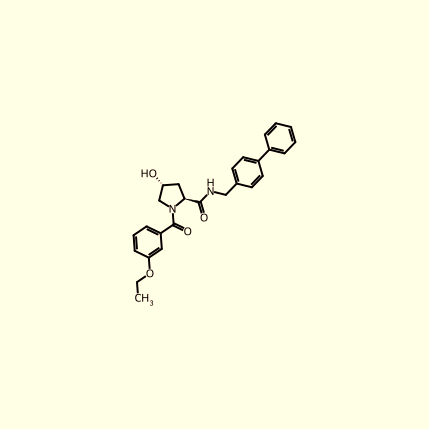 CCOc1cccc(C(=O)N2C[C@H](O)C[C@H]2C(=O)NCc2ccc(-c3ccccc3)cc2)c1